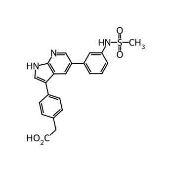 CS(=O)(=O)Nc1cccc(-c2cnc3[nH]cc(-c4ccc(CC(=O)O)cc4)c3c2)c1